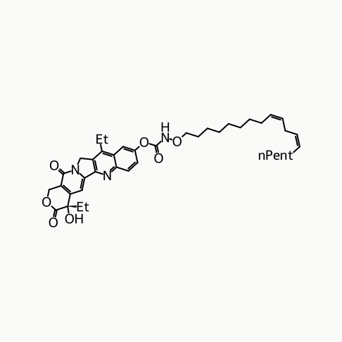 CCCCC/C=C\C/C=C\CCCCCCCCONC(=O)Oc1ccc2nc3c(c(CC)c2c1)Cn1c-3cc2c(c1=O)COC(=O)[C@]2(O)CC